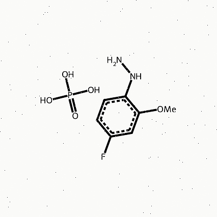 COc1cc(F)ccc1NN.O=P(O)(O)O